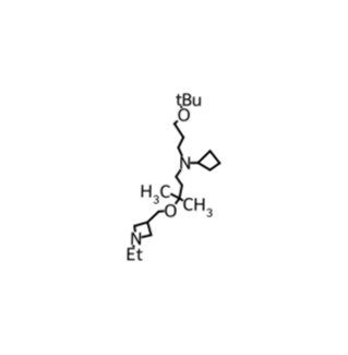 CCN1CC(COC(C)(C)CCN(CCCOC(C)(C)C)C2CCC2)C1